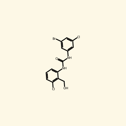 O=C(Nc1cc(Cl)cc(Br)c1)Nc1cccc(Cl)c1CO